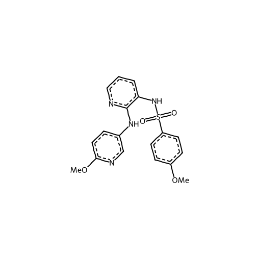 COc1ccc(S(=O)(=O)Nc2cccnc2Nc2ccc(OC)nc2)cc1